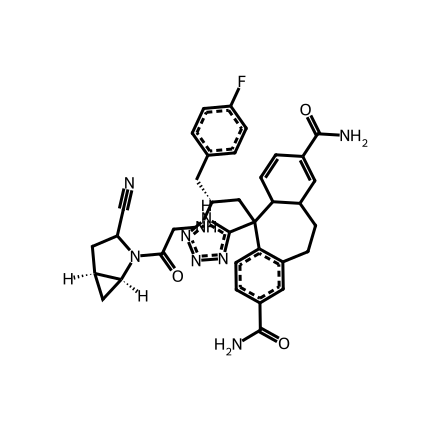 N#CC1C[C@@H]2C[C@@H]2N1C(=O)CN[C@H](Cc1ccc(F)cc1)CC1(c2nnn[nH]2)c2ccc(C(N)=O)cc2CCC2C=C(C(N)=O)C=CC21